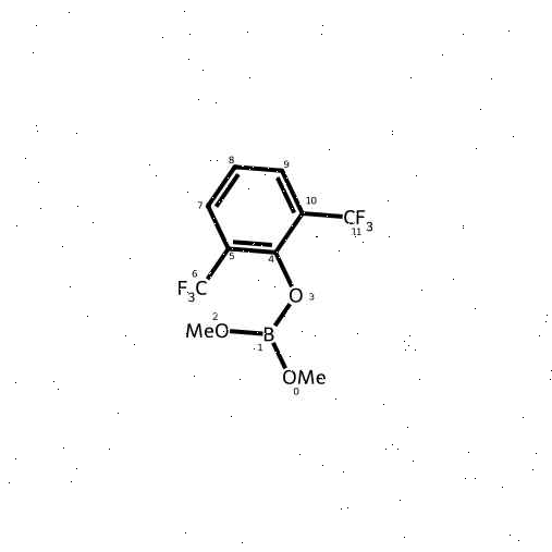 COB(OC)Oc1c(C(F)(F)F)cccc1C(F)(F)F